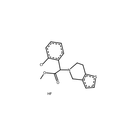 COC(=O)C(c1ccccc1Cl)N1CCc2sccc2C1.F